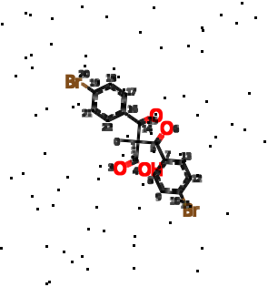 CC(C(=O)O)(C(=O)c1ccc(Br)cc1)C(=O)c1ccc(Br)cc1